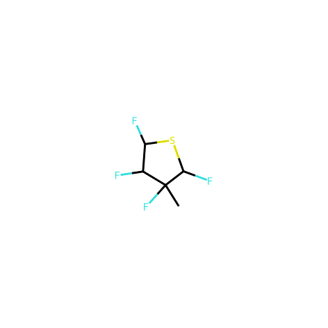 CC1(F)C(F)SC(F)C1F